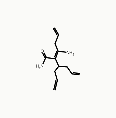 C=CCC(N)=C(C(N)=O)C(CC=C)CC=C